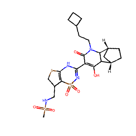 CS(=O)(=O)NCC1CSC2=C1S(=O)(=O)N=C(C1=C(O)C3C([C@@H]4CC[C@H]3C4)N(CCC3CCC3)C1=O)N2